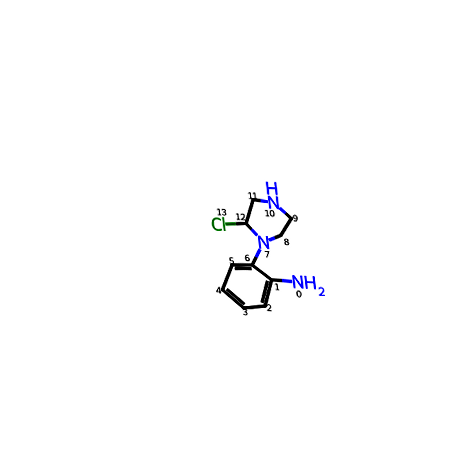 Nc1ccccc1N1CCNCC1Cl